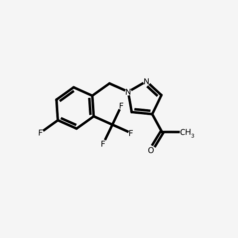 CC(=O)c1cnn(Cc2ccc(F)cc2C(F)(F)F)c1